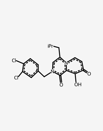 CC(C)Cc1cn(Cc2ccc(Cl)c(Cl)c2)c(=O)c2c(O)c(=O)ccn12